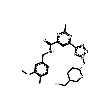 COc1cc(CNC(=O)c2cc(-c3nnn(C[C@H]4CCC(CO)CO4)n3)nc(C)n2)ccc1F